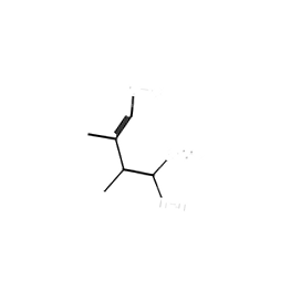 CCCCC(OC)C(C)/C(C)=C/C=O